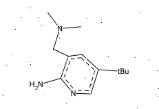 CN(C)Cc1cc(C(C)(C)C)cnc1N